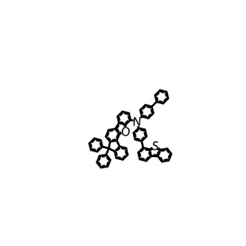 c1ccc(-c2ccc(N(c3ccc(-c4cccc5c4sc4ccccc45)cc3)c3cccc4c3oc3c5c(ccc34)C(c3ccccc3)(c3ccccc3)c3ccccc3-5)cc2)cc1